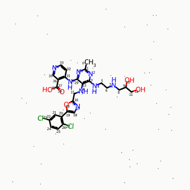 Cc1nc(NCCNCC(O)CO)c(NCc2ncc(-c3cc(Cl)ccc3Cl)o2)c(Nc2ccncc2C(=O)O)n1